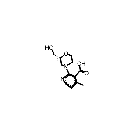 Cc1ccnc(N2CCO[C@@H](CO)C2)c1C(=O)O